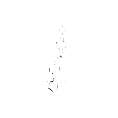 O=C(OC1CCN(C2=NC=CCC2C(F)(F)F)CC1)N1CCN(C2CCC2)CC1